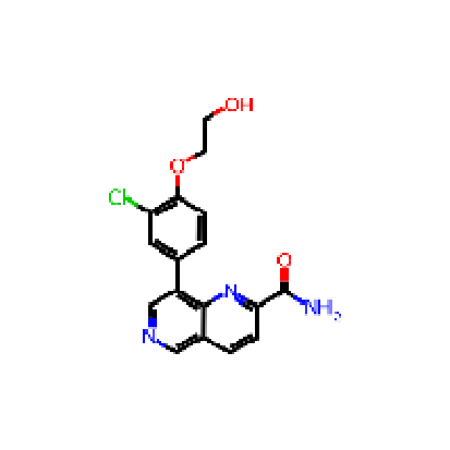 NC(=O)c1ccc2cncc(-c3ccc(OCCO)c(Cl)c3)c2n1